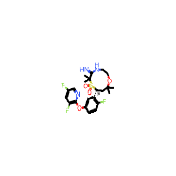 CC1(C)C[C@H](c2cc(Oc3ncc(F)cc3F)ccc2F)S(=O)(=O)C(C)(C)C(=N)NCCO1